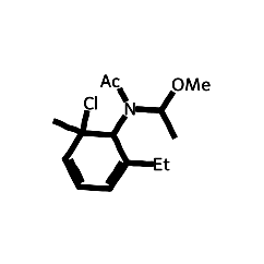 CCC1=CC=CC(C)(Cl)C1N(C(C)=O)C(C)OC